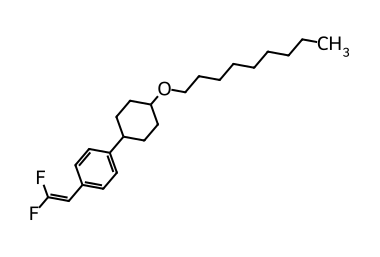 CCCCCCCCCOC1CCC(c2ccc(C=C(F)F)cc2)CC1